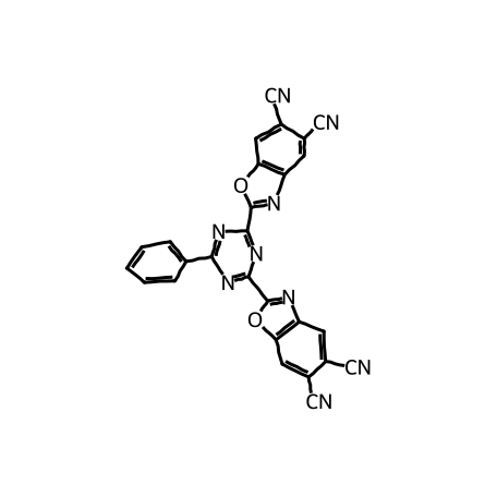 N#Cc1cc2nc(-c3nc(-c4ccccc4)nc(-c4nc5cc(C#N)c(C#N)cc5o4)n3)oc2cc1C#N